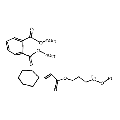 C1CCCCC1.C=CC(=O)OCCC[SiH2]OCC.CCCCCCCCOC(=O)c1ccccc1C(=O)OCCCCCCCC